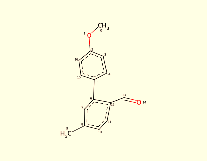 COc1ccc(-c2cc(C)ccc2C=O)cc1